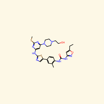 CCc1cc(NC(=O)Nc2ccc(-c3cnc(Nc4cc(N5CCN(CCO)CC5)nc(SC)n4)s3)cc2C)no1